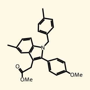 COC(=O)Cc1c(-c2ccc(OC)cc2)n(Cc2ccc(C)cc2)c2ccc(C)cc12